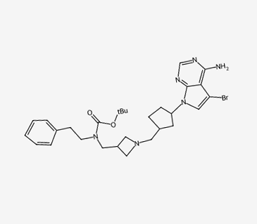 CC(C)(C)OC(=O)N(CCc1ccccc1)CC1CN(CC2CCC(n3cc(Br)c4c(N)ncnc43)C2)C1